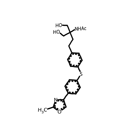 CC(=O)NC(CO)(CO)CCc1ccc(Sc2ccc(-c3coc(C)n3)cc2)cc1